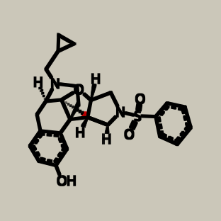 O=S(=O)(c1ccccc1)N1C[C@H]2O[C@@]34CC[C@@H]1[C@@H]2[C@@]31CCN(CC2CC2)[C@@H]4Cc2ccc(O)cc21